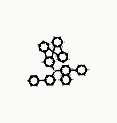 c1ccc(-c2cccc(N(c3ccc4c(c3)C3(c5ccccc5-c5ccccc53)c3ccccc3-4)c3ccc(-c4ccccc4)c4ccccc34)c2)cc1